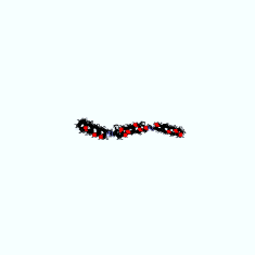 C(=C\c1cc2cc3cc4cc5cc(/C=C/c6ccc7cc8cc9ccccc9cc8cc7c6)sc5cc4cc3cc2s1)/c1ccc2cc3cc4ccccc4cc3cc2c1